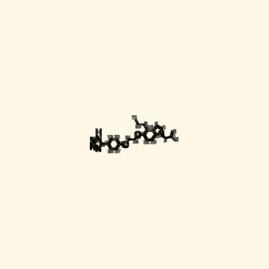 C=C(C)Cn1ccc2c(CCC)c(OCCOc3ccc(-c4nnn[nH]4)cc3)ccc21